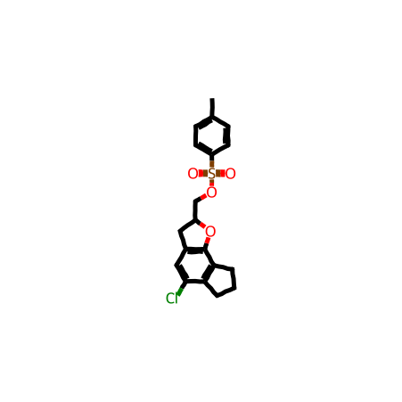 Cc1ccc(S(=O)(=O)OCC2Cc3cc(Cl)c4c(c3O2)CCC4)cc1